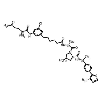 Cc1ncsc1-c1ccc([C@H](C)NC(=O)[C@@H]2C[C@@H](O)CN2C(=O)[C@@H](NC(=O)CCCCCc2cc(Cl)cc(NC(=O)[C@@H](N)CCC(N)=O)c2)C(C)(C)C)cc1